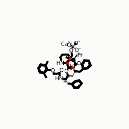 Cc1cccc(C)c1OCC(=O)N[C@@H](Cc1ccccc1)[C@H](C[C@@H](Cc1ccccc1)NC(=O)[C@H](C(C)C)N1CCCNC1=O)OC(=O)CC(C)(C)COP(=O)([O-])[O-].[Ca+2]